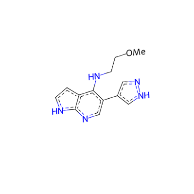 COCCNc1c(-c2cn[nH]c2)cnc2[nH]ccc12